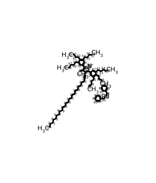 CCCCCCCCCCCCCCCCCCCCCCCCC#CC1=C(c2cc(CCCCC)c(CCCC)c(CCCCC)c2)[N+](=[N-])C(c2cc(CCCCC)c(CCCC)c(CCCCC)c2)=C1CC.c1ccc([CH2][Pd][CH2]c2ccccc2)cc1